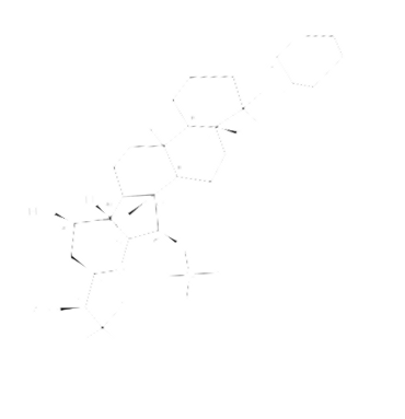 CC[Si](CC)(CC)O[C@H]1[C@H]2O[C@@H]([C@H](OC(C)=O)C(C)(C)O)C[C@@H](C)[C@@H]2[C@@]2(C)CCC34C[C@@]35CC[C@H](O[C@H]3CCCCO3)C(C)(C)[C@@H]5CC[C@H]4[C@]12C